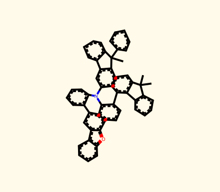 CC1(C)c2ccccc2-c2c(-c3ccccc3N(c3ccc4c(c3)-c3ccccc3C4(C)c3ccccc3)c3ccccc3-c3ccc4oc5ccccc5c4c3)cccc21